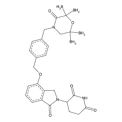 BC1(B)CN(Cc2ccc(COc3cccc4c3CN(C3CCC(=O)NC3=O)C4=O)cc2)C(=O)C(B)(B)O1